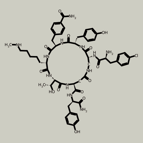 CNCCCCC[C@@H]1NC(=O)[C@@H](Cc2ccc(C(N)=O)cc2)NC(=O)[C@H](Cc2ccc(O)cc2)NC(=O)[C@H](NC(=O)[C@@H](N)Cc2ccc(Cl)cc2)CNC(=O)C[C@@H](C(=O)N[C@H](Cc2ccc(O)cc2)C(N)=O)NC(=O)[C@H]([C@@H](C)O)NC1=O